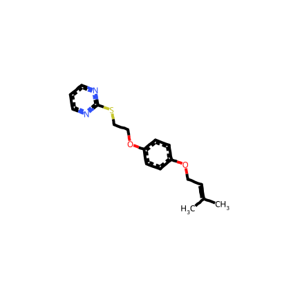 CC(C)=CCOc1ccc(OCCSc2ncccn2)cc1